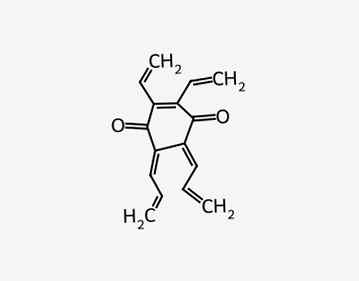 C=C/C=C1/C(=O)C(C=C)=C(C=C)C(=O)/C1=C/C=C